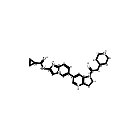 O=C(Nc1cn2cc(-c3cnc4c(c3)N(C(=O)CC3CCOCC3)CC4)ccc2n1)C1CC1